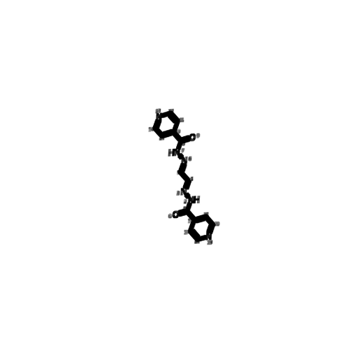 O=C(N/N=C/C=N/NC(=O)c1ccncc1)c1ccncc1